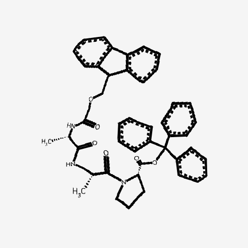 C[C@H](NC(=O)OCC1c2ccccc2-c2ccccc21)C(=O)N[C@@H](C)C(=O)N1CCC[C@H]1C(=O)OC(c1ccccc1)(c1ccccc1)c1ccccc1